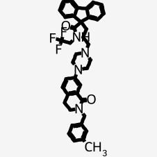 Cc1cccc(CN2CCc3ccc(N4CCN(CCCC5(C(=O)NCC(F)(F)F)c6ccccc6-c6ccccc65)CC4)cc3C2=O)c1